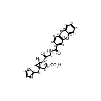 O=C(NCC(=O)N1[C@H]2C[C@@]2(Cc2nccs2)C[C@H]1C(=O)O)c1ccc2c(c1)Oc1ccccc1S2